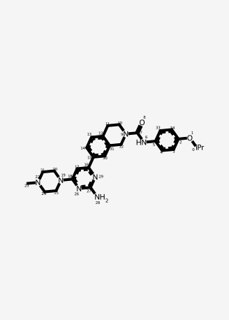 CC(C)Oc1ccc(NC(=O)N2CCc3ccc(-c4cc(N5CCN(C)CC5)nc(N)n4)cc3C2)cc1